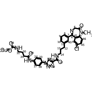 CN1C(=O)CN=C(c2cccc(CCCNC(=O)c3nnn(-c4ccc(NC(=O)CCCNC(=O)OC(C)(C)C)cc4)n3)c2)c2cc(Cl)ccc21